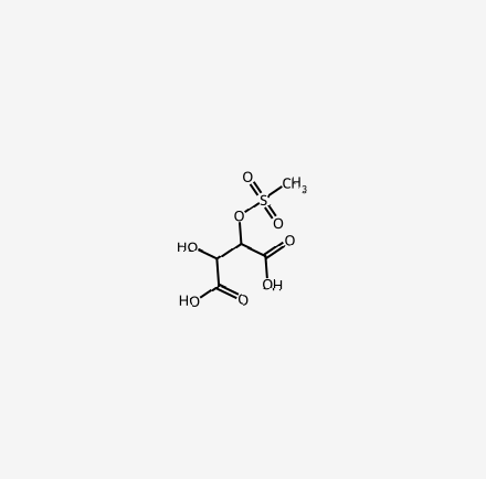 CS(=O)(=O)OC(C(=O)O)C(O)C(=O)O